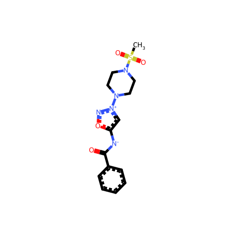 CS(=O)(=O)N1CCN([n+]2cc([N-]C(=O)c3ccccc3)on2)CC1